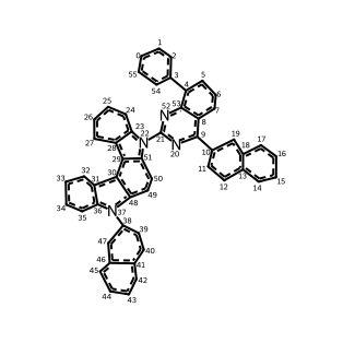 c1ccc(-c2cccc3c(-c4ccc5ccccc5c4)nc(-n4c5ccccc5c5c6c7ccccc7n(-c7ccc8ccccc8c7)c6ccc54)nc23)cc1